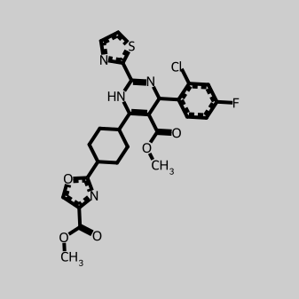 COC(=O)C1=C(C2CCC(c3nc(C(=O)OC)co3)CC2)NC(c2nccs2)=NC1c1ccc(F)cc1Cl